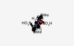 COc1ccc2c(c1)C(C)(C)C(/C=C/C1=C(N(c3ccccc3)c3ccccc3)C(=C/C=C3/N(CCCCS(=O)(=O)O)c4ccc(OC)cc4C3(C)C)/CC1)=[N+]2CCCCS(=O)(=O)O